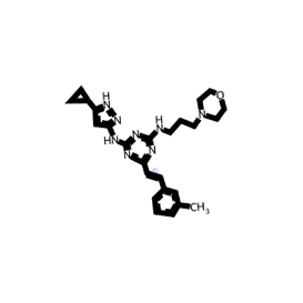 Cc1cccc(/C=C/c2nc(NCCCN3CCOCC3)nc(Nc3cc(C4CC4)[nH]n3)n2)c1